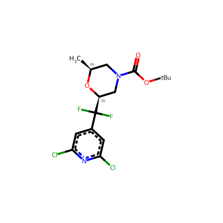 C[C@H]1CN(C(=O)OC(C)(C)C)C[C@@H](C(F)(F)c2cc(Cl)nc(Cl)c2)O1